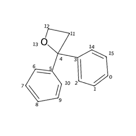 c1ccc(C2(c3ccccc3)CCO2)cc1